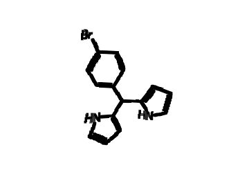 Brc1ccc(C(c2ccc[nH]2)c2ccc[nH]2)cc1